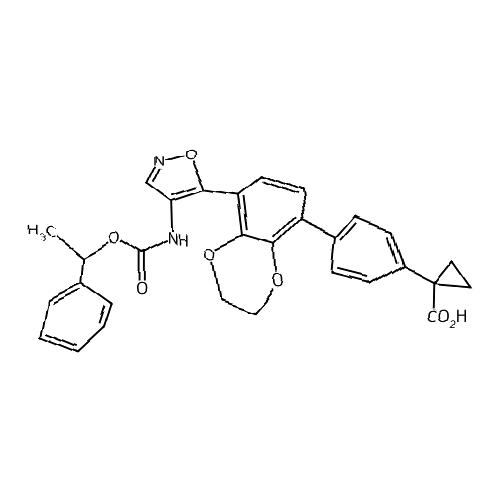 CC(OC(=O)Nc1cnoc1-c1ccc(-c2ccc(C3(C(=O)O)CC3)cc2)c2c1OCCO2)c1ccccc1